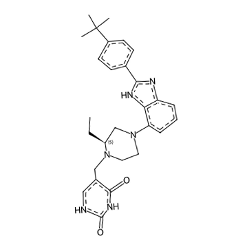 CC[C@H]1CN(c2cccc3nc(-c4ccc(C(C)(C)C)cc4)[nH]c23)CCN1Cc1c[nH]c(=O)[nH]c1=O